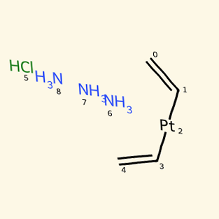 C=[CH][Pt][CH]=C.Cl.N.N.N